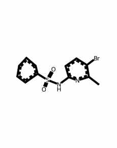 Cc1nc(NS(=O)(=O)c2ccccc2)ccc1Br